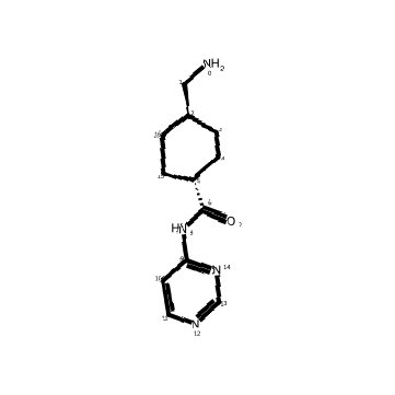 NC[C@H]1CC[C@H](C(=O)Nc2ccncn2)CC1